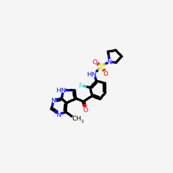 Cc1ncnc2[nH]cc(C(=O)c3cccc(NS(=O)(=O)N4CCCC4)c3F)c12